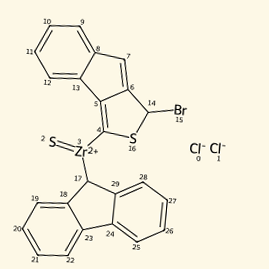 [Cl-].[Cl-].[S]=[Zr+2]([C]1=C2C(=Cc3ccccc32)C(Br)S1)[CH]1c2ccccc2-c2ccccc21